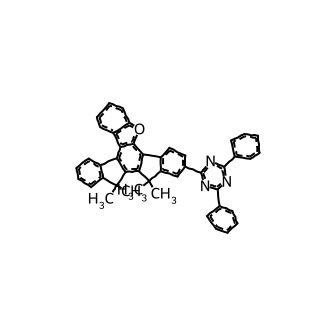 CC1(C)c2cc(-c3nc(-c4ccccc4)nc(-c4ccccc4)n3)ccc2-c2c1c1c(c3c2oc2ccccc23)-c2ccccc2C1(C)C